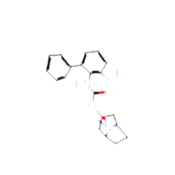 C[N+]1(C)C2CCC1CC(OC(=O)Nc1c(F)cccc1-c1ccccc1)C2.[Br-]